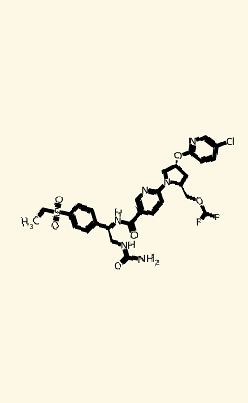 CCS(=O)(=O)c1ccc([C@H](CNC(N)=O)NC(=O)c2ccc(N3C[C@H](Oc4ccc(Cl)cn4)C[C@H]3COC(F)F)nc2)cc1